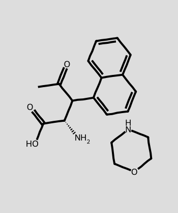 C1COCCN1.CC(=O)C(c1cccc2ccccc12)[C@H](N)C(=O)O